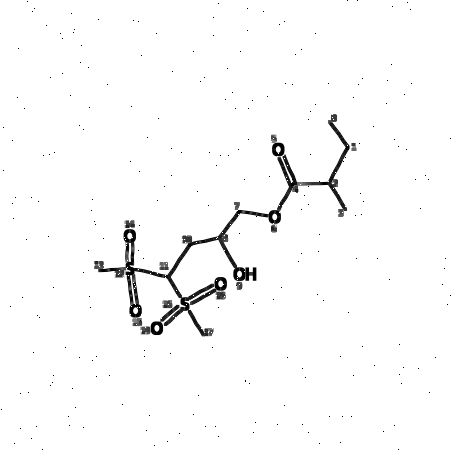 CCC(C)C(=O)OCC(O)CC(S(C)(=O)=O)S(C)(=O)=O